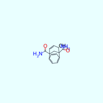 CC1C=CC2(C(N)=O)CC1(C(N)=O)c1ccc2cc1